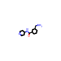 NCc1cccc(C(=O)Nc2ccncc2)c1